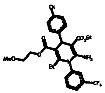 CCOC(=O)C1=C(N)N(c2cccc(C(F)(F)F)c2)C(CC)=C(C(=O)OCCOC)C1c1ccc(C#N)cc1